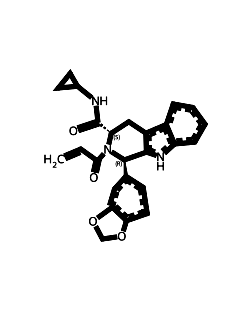 C=CC(=O)N1[C@H](c2ccc3c(c2)OCO3)c2[nH]c3ccccc3c2C[C@H]1C(=O)NC1CC1